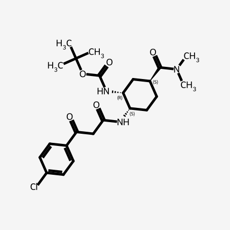 CN(C)C(=O)[C@H]1CC[C@H](NC(=O)CC(=O)c2ccc(Cl)cc2)[C@H](NC(=O)OC(C)(C)C)C1